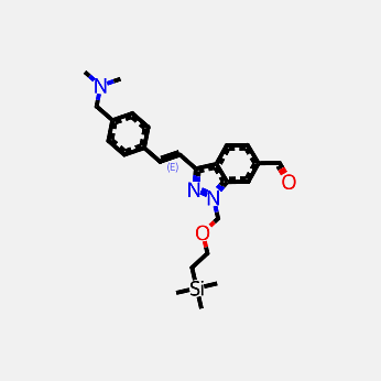 CN(C)Cc1ccc(/C=C/c2nn(COCC[Si](C)(C)C)c3cc(C=O)ccc23)cc1